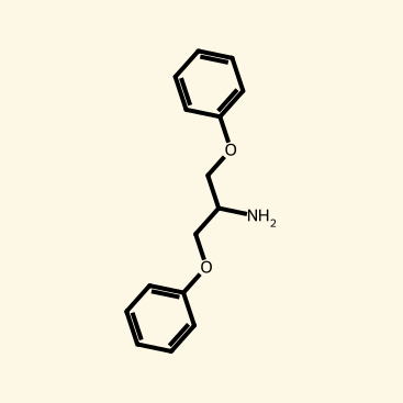 NC(COc1ccccc1)COc1ccccc1